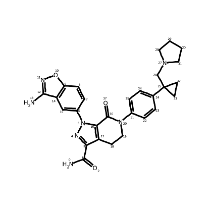 NC(=O)c1nn(-c2ccc3onc(N)c3c2)c2c1CCN(c1ccc(C3(CN4CCCC4)CC3)cc1)C2=O